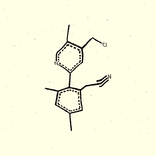 Cc1cc(C)c(-c2cc(CCl)c(C)cn2)c(C#N)c1